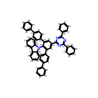 c1ccc(-c2ccc(-c3cc(-c4nc(-c5ccccc5)nc(-c5ccccc5)n4)cc(-c4ccc(-c5ccccc5)cc4)c3-n3c4ccccc4c4ccccc43)cc2)cc1